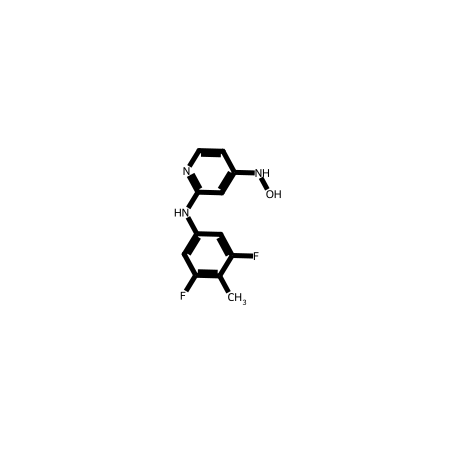 Cc1c(F)cc(Nc2cc(NO)ccn2)cc1F